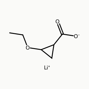 CCOC1CC1C(=O)[O-].[Li+]